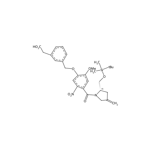 C=C1C[C@@H](CO[Si](C)(C)C(C)(C)C)N(C(=O)c2cc(OC)c(OCc3cccc(CC(=O)O)c3)cc2[N+](=O)[O-])C1